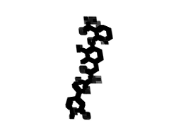 CC1C(F)=C(Oc2ncccc2C(N)=O)C=CC1CC(=O)Nc1nc(-c2ccn(C)c(=O)c2)cs1